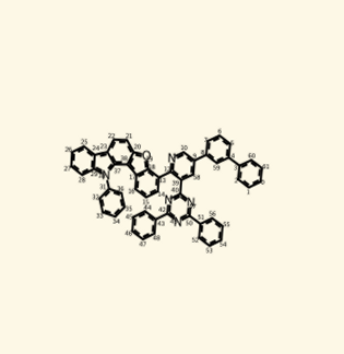 c1ccc(-c2cccc(-c3cnc(-c4cccc5c4oc4ccc6c7ccccc7n(-c7ccccc7)c6c45)c(-c4nc(-c5ccccc5)nc(-c5ccccc5)n4)c3)c2)cc1